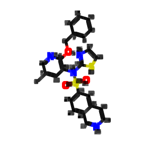 Cc1cnc(OCc2ccccc2)c(N(c2nccs2)S(=O)(=O)c2ccc3cnccc3c2)c1